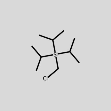 CC(C)[Si](CCl)(C(C)C)C(C)C